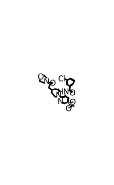 CS(=O)(=O)c1cnc(N2CCC(CC(=O)N3CCOCC3)CC2)c(NC(=O)c2cccc(Cl)c2)c1